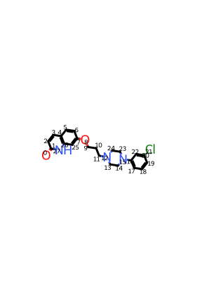 O=c1ccc2ccc(OCCCN3CCN(c4cccc(Cl)c4)CC3)cc2[nH]1